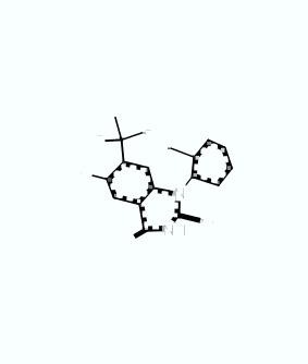 CC(F)(F)c1cc2c(cc1Br)c(=O)[nH]c(=O)n2-c1ccccc1Cl